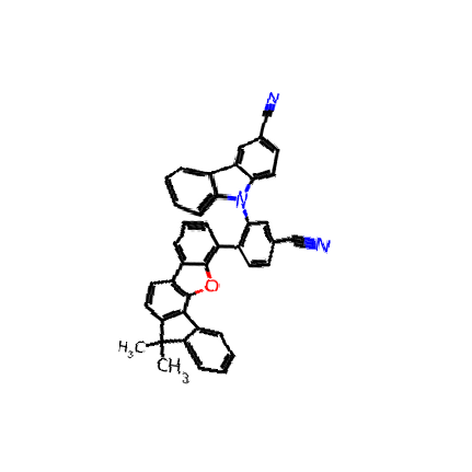 CC1(C)c2ccccc2-c2c1ccc1c2oc2c(-c3ccc(C#N)cc3-n3c4ccccc4c4cc(C#N)ccc43)cccc21